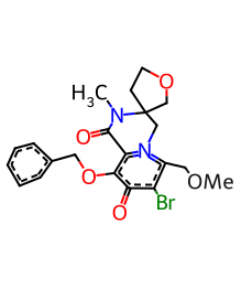 COCc1c(Br)c(=O)c(OCc2ccccc2)c2n1CC1(CCOC1)N(C)C2=O